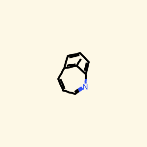 Cc1c2cccc1N=CC=C2